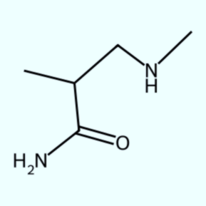 CNCC(C)C(N)=O